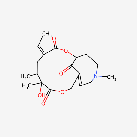 C/C=C1/CC(C)C(C)(O)C(=O)OC/C2=C\CN(C)CCC(OC1=O)C2=O